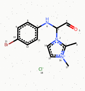 Cc1n(C(C=O)Nc2ccc(Br)cc2)cc[n+]1C.[Cl-]